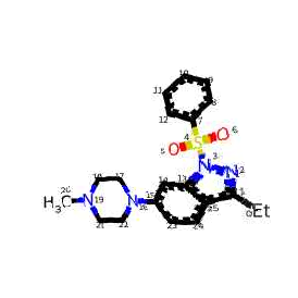 CCc1nn(S(=O)(=O)c2ccccc2)c2cc(N3CCN(C)CC3)ccc12